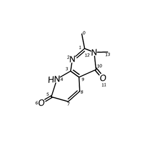 Cc1nc2[nH]c(=O)ccc2c(=O)n1C